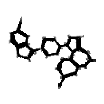 Fc1ccc2onc([C@H]3CC[C@H](c4nnc5n4-c4ccc(Cl)cc4CNC5)CC3)c2c1